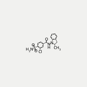 CC1Cc2ccccc2N1NC(=O)c1ccc(S(N)(=O)=O)c(Cl)c1